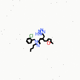 CCCCc1ncc(C=C(Cc2nnn[nH]2)Cc2ccc(C)o2)n1Cc1ccccc1Cl